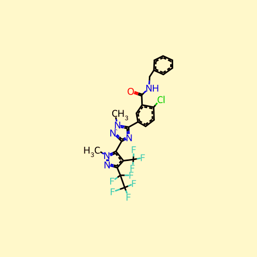 Cn1nc(-c2c(C(F)(F)F)c(C(F)(F)C(F)(F)F)nn2C)nc1-c1ccc(Cl)c(C(=O)NCc2ccccc2)c1